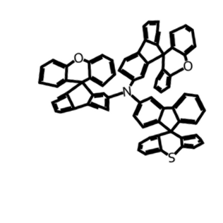 c1ccc2c(c1)Oc1ccccc1C21c2ccccc2-c2ccc(N(c3ccc4c(c3)-c3ccccc3C43c4ccccc4Sc4ccccc43)c3ccc4c(c3)C3(c5ccccc5Oc5ccccc53)c3ccccc3-4)cc21